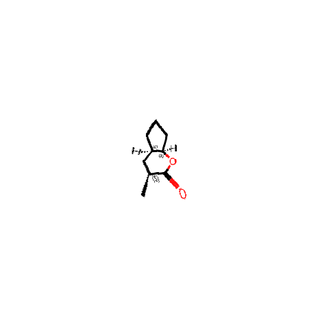 C[C@H]1C[C@H]2CCC[C@H]2OC1=O